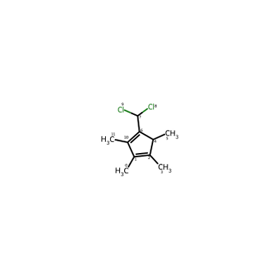 CC1=C(C)C(C)C(C(Cl)Cl)=C1C